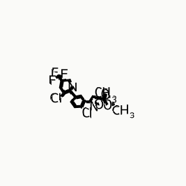 CCOC(=O)C1(C)CC(c2cc(-c3ncc(C(F)(F)F)cc3Cl)ccc2Cl)=NO1